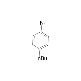 CCCCc1ccc([N])cc1